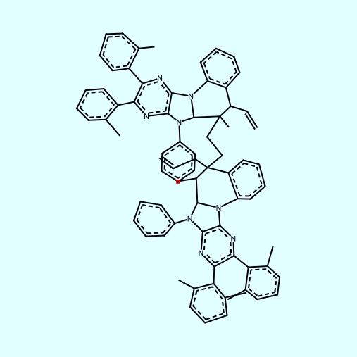 C=CCC1(CCC2(C)C(C=C)c3ccccc3N3c4nc(-c5ccccc5C)c(-c5ccccc5C)nc4N(c4ccccc4)C32)c2ccccc2N2c3nc(-c4c(C)cccc4C)c(-c4c(C)cccc4C)nc3N(c3ccccc3)C2C1C